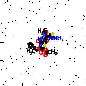 CON=C(C(=O)NC1C(=O)N2CC(COC(C)=O)(C(=O)OCC(C)=Cc3ccccc3)CS[C@H]12)c1csc(N)n1